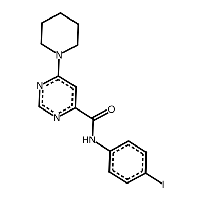 O=C(Nc1ccc(I)cc1)c1cc(N2CCCCC2)ncn1